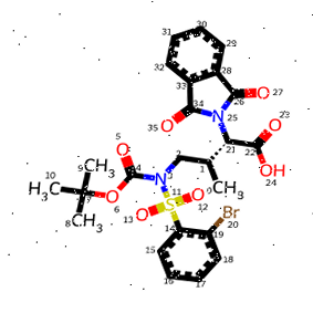 CC(CN(C(=O)OC(C)(C)C)S(=O)(=O)c1ccccc1Br)[C@@H](C(=O)O)N1C(=O)c2ccccc2C1=O